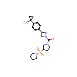 O=C(N1CC(c2ccc(C3(C(F)(F)F)CC3)cc2)C1)N1CCC(S(=O)(=O)N2CCCC2)C1